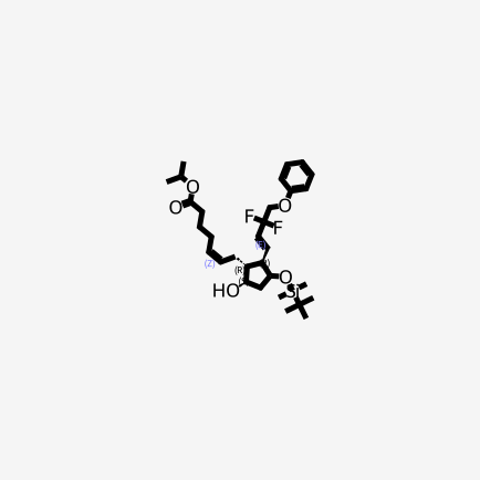 CC(C)OC(=O)CCC/C=C\C[C@H]1[C@@H](O)CC(O[Si](C)(C)C(C)(C)C)[C@@H]1/C=C/C(F)(F)COc1ccccc1